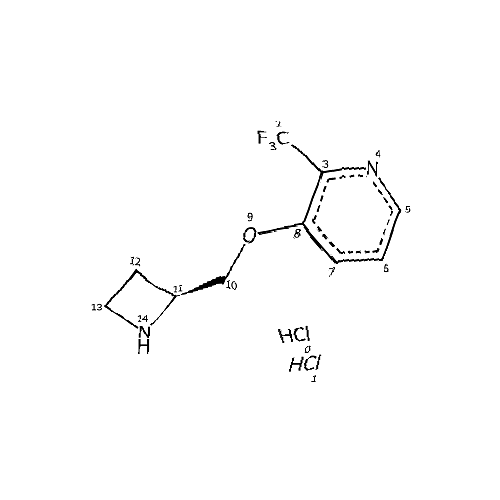 Cl.Cl.FC(F)(F)c1ncccc1OC[C@@H]1CCN1